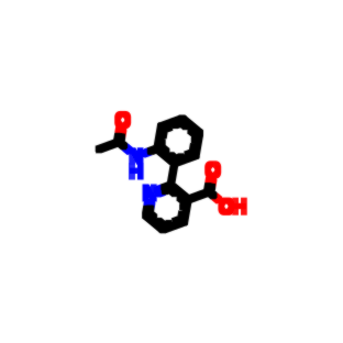 CC(=O)Nc1ccccc1-c1ncccc1C(=O)O